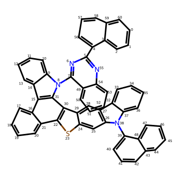 c1ccc2c(-c3nc(-n4c5ccccc5c5c6ccccc6c6sc7cc8c(cc7c6c54)c4ccccc4n8-c4cccc5ccccc45)c4ccccc4n3)cccc2c1